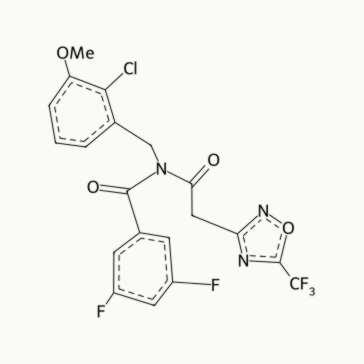 COc1cccc(CN(C(=O)Cc2noc(C(F)(F)F)n2)C(=O)c2cc(F)cc(F)c2)c1Cl